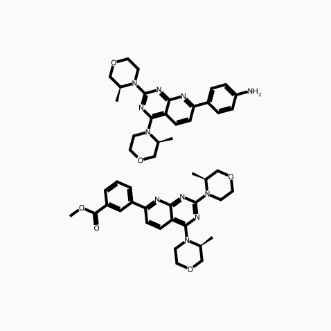 COC(=O)c1cccc(-c2ccc3c(N4CCOC[C@@H]4C)nc(N4CCOC[C@@H]4C)nc3n2)c1.C[C@H]1COCCN1c1nc(N2CCOC[C@@H]2C)c2ccc(-c3ccc(N)cc3)nc2n1